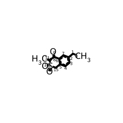 CCc1ccc2c(c1)C(=O)C(C)S(=O)(=O)C2